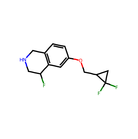 FC1CNCc2ccc(OCC3CC3(F)F)cc21